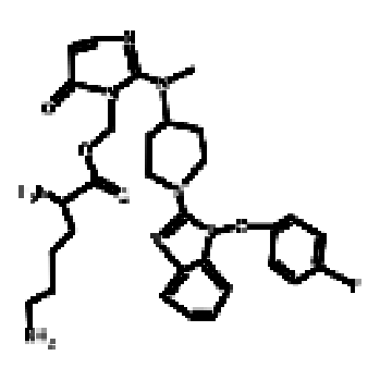 CN(c1nccc(=O)n1COC(=O)C(N)CCCCN)C1CCN(c2nc3ccccc3n2Cc2ccc(F)cc2)CC1